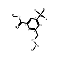 COOCc1cc(C(=O)OC)cc(C(C)(C)C)c1